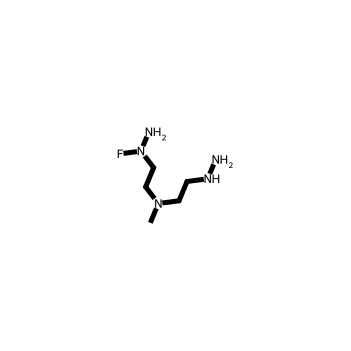 CN(CCNN)CCN(N)F